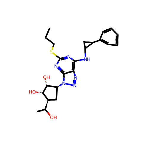 CCCSc1nc(NC2CC2c2ccccc2)c2nnn([C@H]3C[C@@H](C(C)O)[C@H](O)[C@@H]3O)c2n1